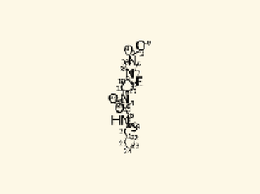 COCC(=O)N1CCN(c2ccc(N3CC(CNC(=S)CC4CCCC4)OC3=O)cc2F)CC1